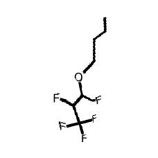 CCCCOC(F)C(F)C(F)(F)F